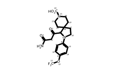 NC(=O)CC(=O)C1N(c2ccc(OC(F)(F)F)cc2)CCC12CCN(C(=O)O)CC2